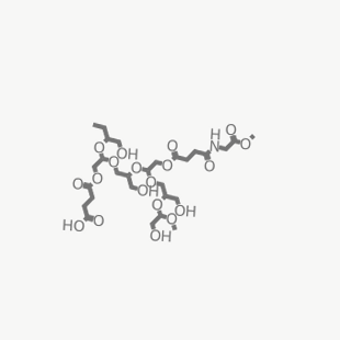 CCC(CO)OC(COC(=O)CCC(=O)O)OCC(CO)OC(COC(=O)CCC(=O)NCC(=O)OC)OCC(CO)OC(CO)OC